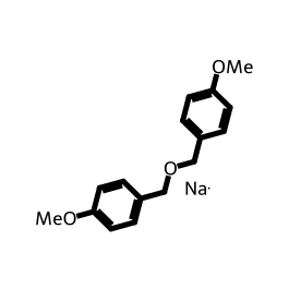 COc1ccc(COCc2ccc(OC)cc2)cc1.[Na]